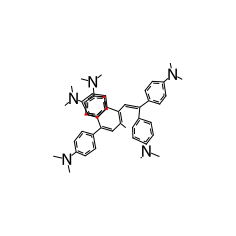 CC(C=C(c1ccc(N(C)C)cc1)c1ccc(N(C)C)cc1)=C(C=C(c1ccc(N(C)C)cc1)c1ccc(N(C)C)cc1)c1ccc(N(C)C)cc1